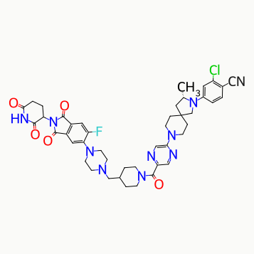 C[C@H]1CC2(CCN(c3cnc(C(=O)N4CCC(CN5CCN(c6cc7c(cc6F)C(=O)N(C6CCC(=O)NC6=O)C7=O)CC5)CC4)cn3)CC2)CN1c1ccc(C#N)c(Cl)c1